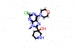 Cn1c(C2(O)CCCNC2)nc2c(N3CCOCC3)nc(Cl)nc21